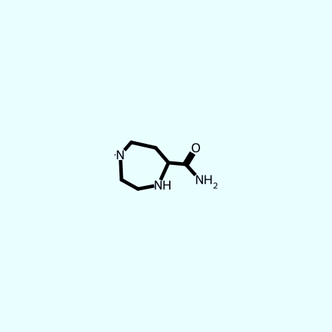 NC(=O)C1CC[N]CCN1